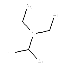 [2H]C(C(C)=O)[16N](CC(C)=O)CC(C)=O